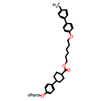 CCCCCOc1ccc(C2CCC(C(=O)OCCCCCCOc3ccc(-c4ccc(C)cc4)cc3)CC2)cc1